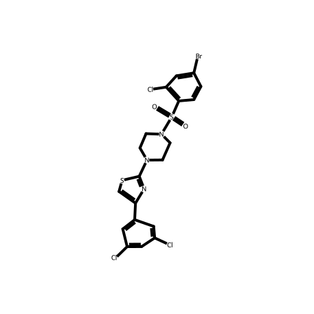 O=S(=O)(c1ccc(Br)cc1Cl)N1CCN(c2nc(-c3cc(Cl)cc(Cl)c3)cs2)CC1